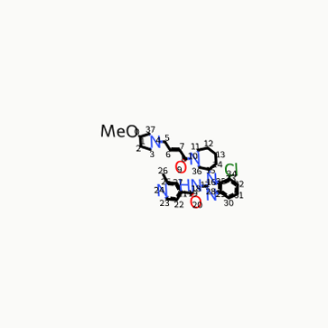 CO[C@@H]1CCN(CC=CC(=O)N2CCCC[C@@H](n3c(NC(=O)c4ccnc(C)c4)nc4cccc(Cl)c43)C2)C1